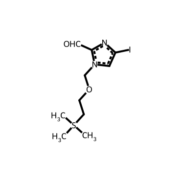 CS(C)(C)CCOCn1cc(I)nc1C=O